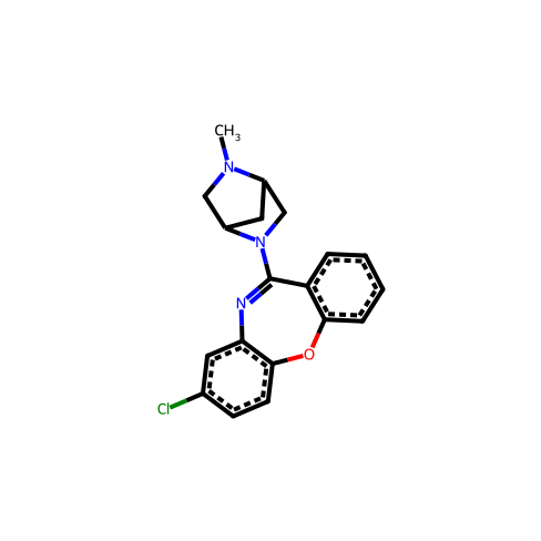 CN1CC2CC1CN2C1=Nc2cc(Cl)ccc2Oc2ccccc21